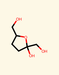 OCC1CCC(O)(CO)O1